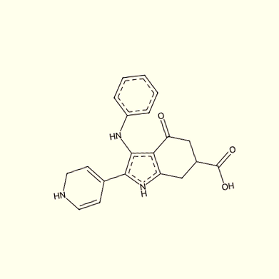 O=C1CC(C(=O)O)Cc2[nH]c(C3=CCNC=C3)c(Nc3ccccc3)c21